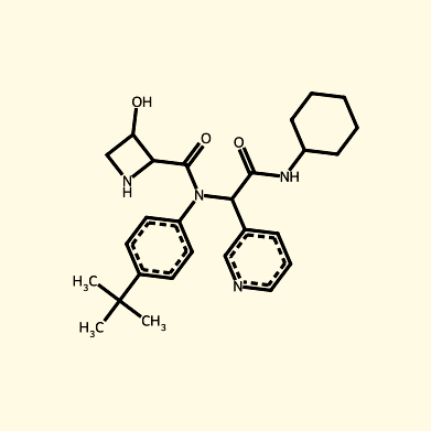 CC(C)(C)c1ccc(N(C(=O)C2NCC2O)C(C(=O)NC2CCCCC2)c2cccnc2)cc1